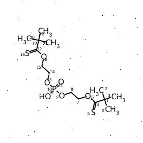 CC(C)(C)C(=S)OCCOP(=O)(O)OCCOC(=S)C(C)(C)C